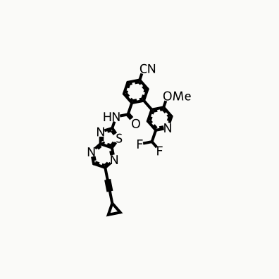 COc1cnc(C(F)F)cc1-c1cc(C#N)ccc1C(=O)Nc1nc2ncc(C#CC3CC3)nc2s1